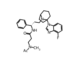 CC(=O)N(C)CCC(=O)N[C@@H](CCN1C2CCCC1(n1cnc3c(F)cccc31)CC2)c1ccccc1